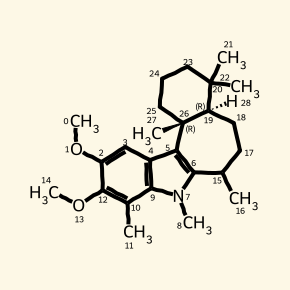 COc1cc2c3c(n(C)c2c(C)c1OC)C(C)CC[C@@H]1C(C)(C)CCC[C@@]31C